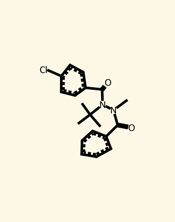 CN(C(=O)c1ccccc1)N(C(=O)c1ccc(Cl)cc1)C(C)(C)C